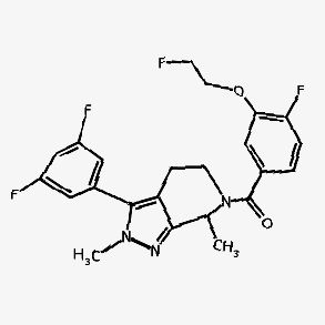 CC1c2nn(C)c(-c3cc(F)cc(F)c3)c2CCN1C(=O)c1ccc(F)c(OCCF)c1